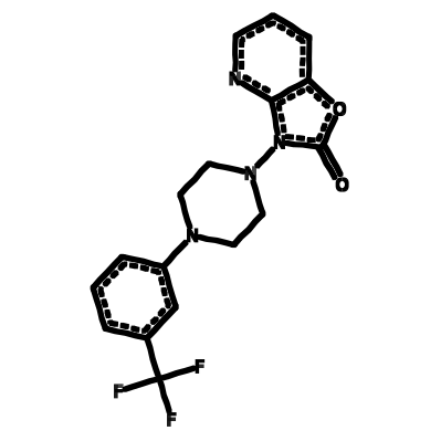 O=c1oc2cccnc2n1N1CCN(c2cccc(C(F)(F)F)c2)CC1